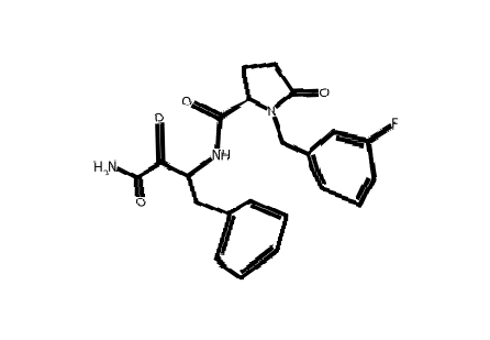 NC(=O)C(=O)C(Cc1ccccc1)NC(=O)[C@H]1CCC(=O)N1Cc1cccc(F)c1